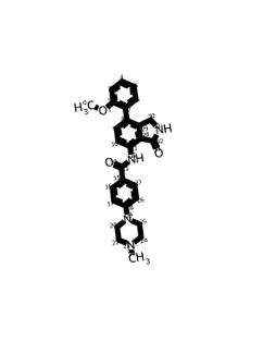 COc1ccccc1-c1ccc(NC(=O)c2ccc(N3CCN(C)CC3)cc2)c2c1CNC2=O